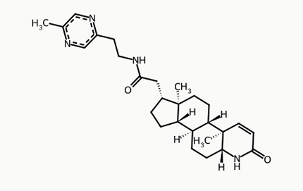 Cc1cnc(CCNC(=O)C[C@H]2CC[C@H]3[C@@H]4CC[C@H]5NC(=O)C=C[C@]5(C)[C@H]4CC[C@]23C)cn1